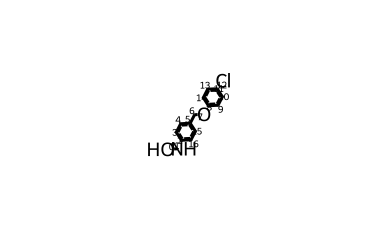 ONc1ccc(COc2ccc(Cl)cc2)cc1